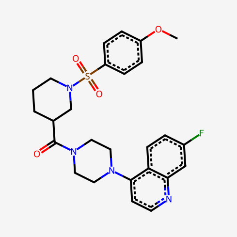 COc1ccc(S(=O)(=O)N2CCCC(C(=O)N3CCN(c4ccnc5cc(F)ccc45)CC3)C2)cc1